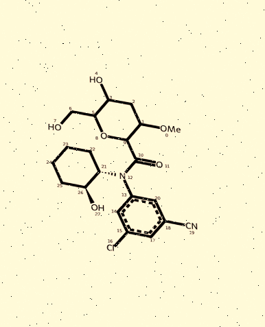 COC1CC(O)C(CO)OC1C(=O)N(c1cc(Cl)cc(C#N)c1)[C@H]1CCCC[C@@H]1O